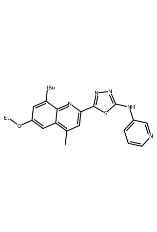 CCOc1cc(C(C)(C)C)c2nc(-c3nnc(Nc4cccnc4)s3)cc(C)c2c1